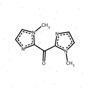 Cn1ccnc1C(=O)c1nccn1C